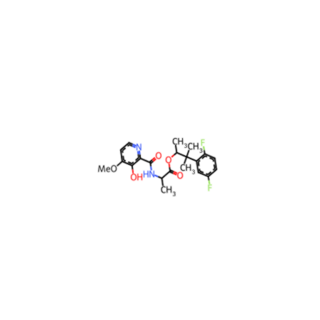 COc1ccnc(C(=O)NC(C)C(=O)OC(C)C(C)(C)c2cc(F)ccc2F)c1O